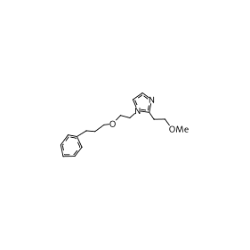 COCCc1nccn1CCOCCCc1ccccc1